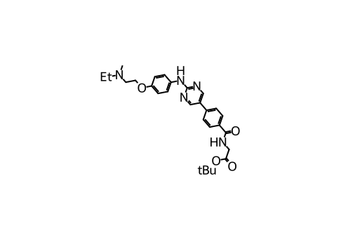 CCN(C)CCOc1ccc(Nc2ncc(-c3ccc(C(=O)NCC(=O)OC(C)(C)C)cc3)cn2)cc1